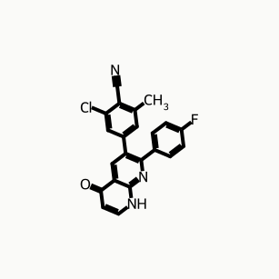 Cc1cc(-c2cc3c(=O)cc[nH]c3nc2-c2ccc(F)cc2)cc(Cl)c1C#N